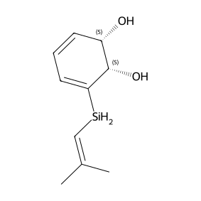 CC(C)=C[SiH2]C1=CC=C[C@H](O)[C@@H]1O